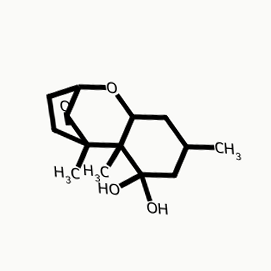 CC1CC2OC3CCC(C)(C34CO4)C2(C)C(O)(O)C1